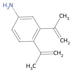 C=C(C)c1ccc(N)cc1C(=C)C